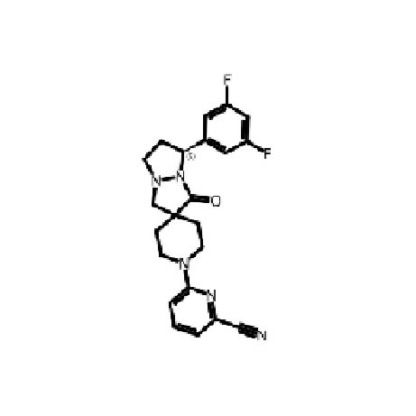 N#Cc1cccc(N2CCC3(CC2)CN2CC[C@@H](c4cc(F)cc(F)c4)N2C3=O)n1